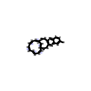 Cc1ccc2nc3c(nc2c1)CSC1=C\C(=C/C=C\C=C/C=C/C=C\1)SC3